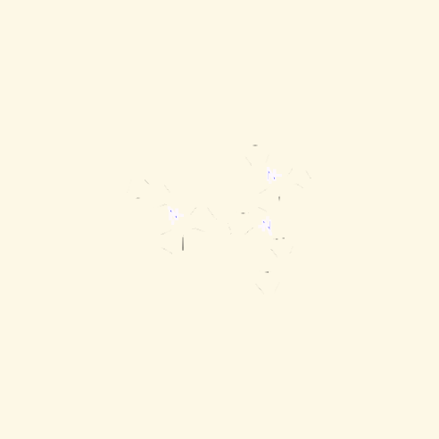 c1ccc(-c2cccc(-n3c4ccc(-c5ccc6c(c5)c5ccccc5n6-c5ccc6ccccc6c5)cc4c4cc5c(cc43)c3ccccc3n5-c3ccccc3)c2)cc1